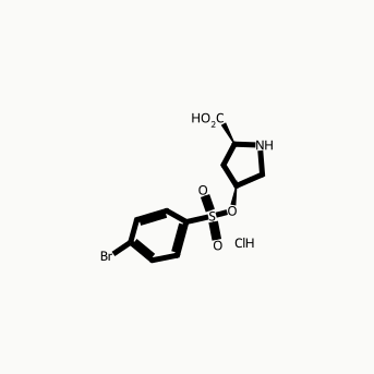 Cl.O=C(O)[C@@H]1C[C@H](OS(=O)(=O)c2ccc(Br)cc2)CN1